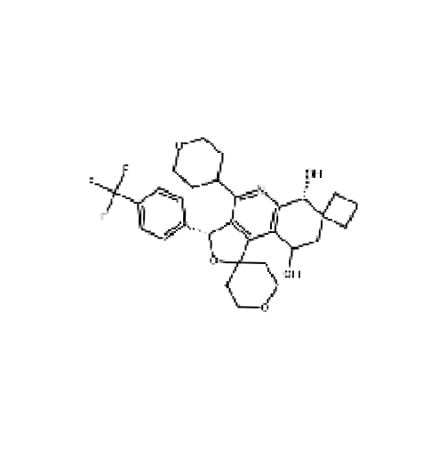 OC1CC2(CCC2)[C@@H](O)c2nc(C3CCOCC3)c3c(c21)C1(CCOCC1)O[C@@H]3c1ccc(C(F)(F)F)cc1